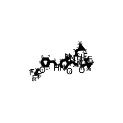 O=C1N[C@@H](CCc2cccc(OCC(F)(F)F)c2)Cc2nn(CCC3CC3)c(CNC(=O)C3(C(F)(F)F)CC3)c21